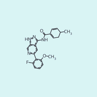 COc1cccc(F)c1-c1cc2c(NC(=O)C3=CCC(C)C=C3)n[nH]c2cn1